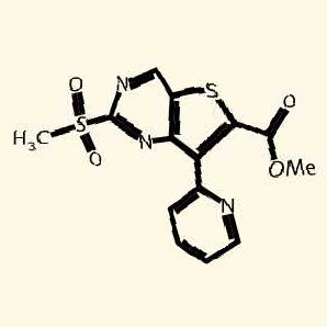 COC(=O)c1sc2cnc(S(C)(=O)=O)nc2c1-c1ccccn1